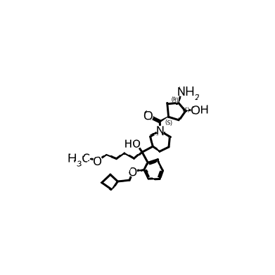 COCCCCC(O)(c1ccccc1OCC1CCC1)C1CCCN(C(=O)[C@H]2C[C@@H](N)[C@@H](O)C2)C1